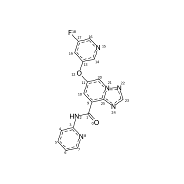 O=C(Nc1ccccn1)c1cc(Oc2cncc(F)c2)cn2ncnc12